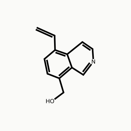 C=Cc1ccc(CO)c2cnccc12